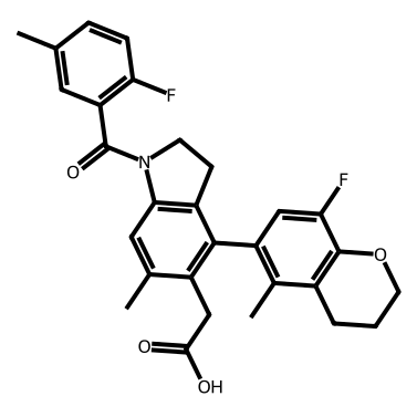 Cc1ccc(F)c(C(=O)N2CCc3c2cc(C)c(CC(=O)O)c3-c2cc(F)c3c(c2C)CCCO3)c1